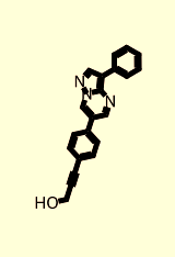 OCC#Cc1ccc(-c2cnc3c(-c4ccccc4)cnn3c2)cc1